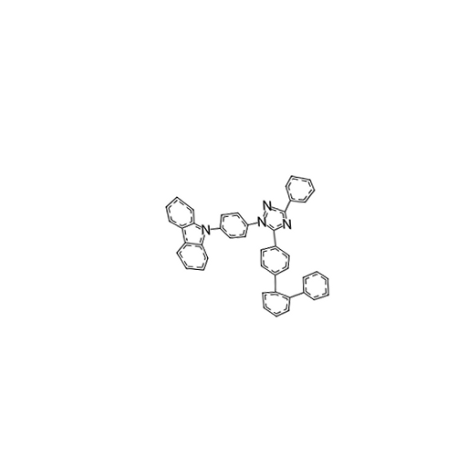 c1ccc(-c2nc(-c3ccc(-c4ccccc4-c4ccccc4)cc3)n(-c3ccc(-n4c5ccccc5c5ccccc54)cc3)n2)cc1